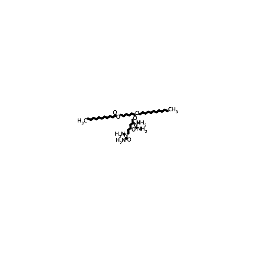 CCCCCCCCCCCCOC(CCCCCOC(=O)CCCCCCCCCCC)OCC(CCCCN(N)C(N)=O)N(N)C(N)=O